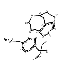 CC(C)C(C)(C)c1ccc(C(=O)O)cc1.c1cc2c3cc1CC[C]3CCC2